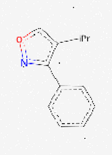 CC(C)c1conc1-c1ccccc1